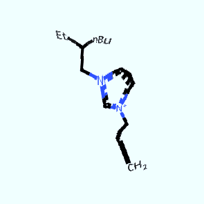 C=CC[n+]1ccn(CC(CC)CCCC)c1